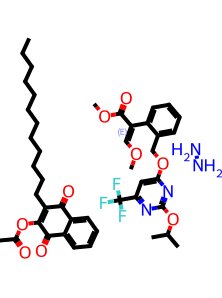 CCCCCCCCCCCCC1=C(OC(C)=O)C(=O)c2ccccc2C1=O.CO/C=C(/C(=O)OC)c1ccccc1COc1cc(C(F)(F)F)nc(OC(C)C)n1.NN